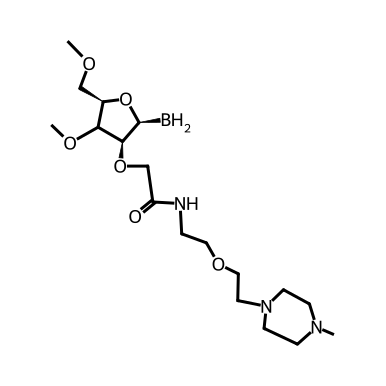 B[C@@H]1O[C@H](COC)C(OC)[C@@H]1OCC(=O)NCCOCCN1CCN(C)CC1